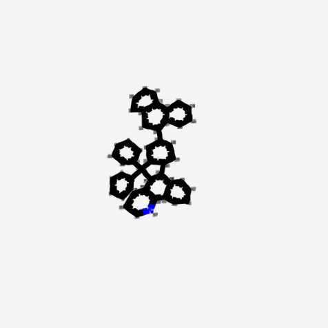 c1ccc(C2(c3ccccc3)c3cc(-c4cc5ccccc5c5ccccc45)ccc3-c3c2c2cccnc2c2ccccc32)cc1